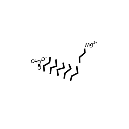 CCCC.CCCC.CCCC.CCCC.CCCC.CCCC.[Mg+2].[O]=[Ti]([O-])[O-]